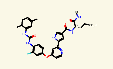 CCNC(=O)[C@H](CCC(=O)O)NC(=O)c1c[nH]c(-c2cc(Oc3ccc(NC(=O)NC4=CC(C)=CCC4C)c(F)c3)ccn2)c1